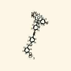 OC(Cn1cnnn1)(c1ccc(F)cc1F)C(F)(F)c1ccc(C#Cc2ccc(OCc3cccc(OC(F)(F)F)c3)cc2)cn1